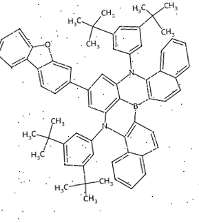 CC(C)(C)c1cc(N2c3cc(-c4ccc5c(c4)oc4ccccc45)cc4c3B(c3ccc5ccccc5c32)c2ccc3ccccc3c2N4c2cc(C(C)(C)C)cc(C(C)(C)C)c2)cc(C(C)(C)C)c1